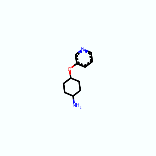 NC1CCC(Oc2cccnc2)CC1